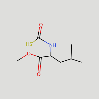 COC(=O)C(CC(C)C)NC(=O)S